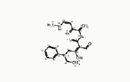 C=C(NC(=O)/C(C=O)=C(/O)CN(CC)c1ccccc1)C(=N)/C=C\NC